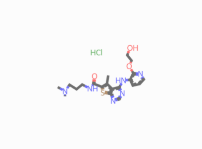 Cc1c(C(=O)NCCCN(C)C)sc2ncnc(Nc3cccnc3OCCO)c12.Cl